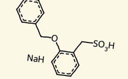 O=S(=O)(O)Cc1ccccc1OCc1ccccc1.[NaH]